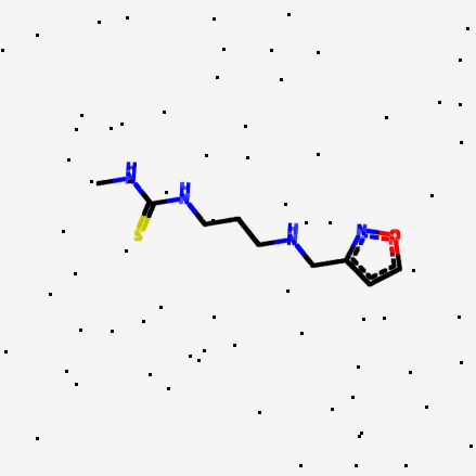 CNC(=S)NCCCNCc1ccon1